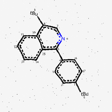 CC(C)(C)c1ccc(-c2ncc(C(C)(C)C)c3ccccc23)cc1